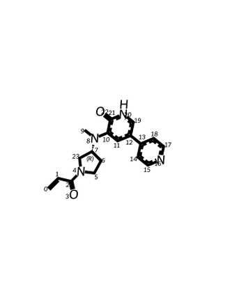 C=CC(=O)N1CC[C@@H](N(C)c2cc(-c3ccncc3)c[nH]c2=O)C1